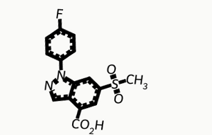 CS(=O)(=O)c1cc(C(=O)O)c2cnn(-c3ccc(F)cc3)c2c1